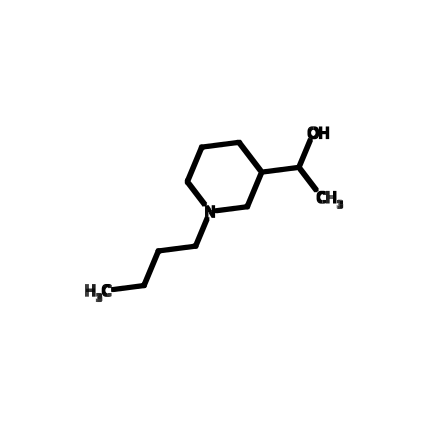 CCCCN1CCCC(C(C)O)C1